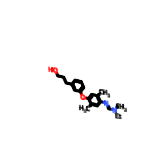 CCN(C)/C=N/c1cc(C)c(Oc2cccc(CCCO)c2)cc1C